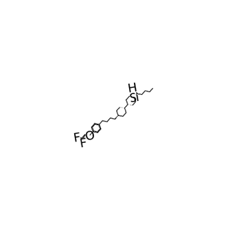 CCCCC[Si@H]1CC[C@H]([C@H]2CC[C@H](CCCCc3ccc(OC=C(F)F)cc3)CC2)CC1